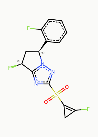 O=S(=O)(C1=C(F)C1)c1nc2n(n1)[C@H](c1ccccc1F)C[C@@H]2F